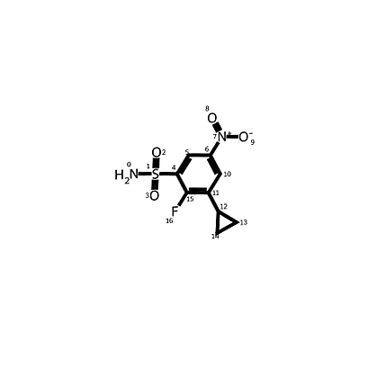 NS(=O)(=O)c1cc([N+](=O)[O-])cc(C2CC2)c1F